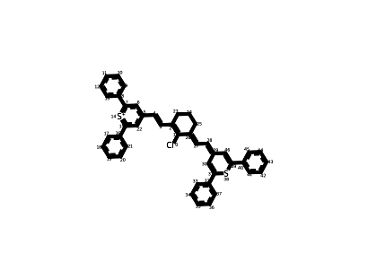 ClC1=C(/C=C/c2cc(-c3ccccc3)[s+]c(-c3ccccc3)c2)CCC/C1=C\C=C1C=C(c2ccccc2)SC(c2ccccc2)=C1